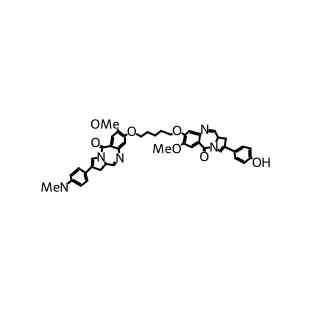 CNc1ccc(C2=CN3C(=O)c4cc(OC)c(OCCCCCOc5cc6c(cc5OC)C(=O)N5C=C(c7ccc(O)cc7)CC5C=N6)cc4N=CC3C2)cc1